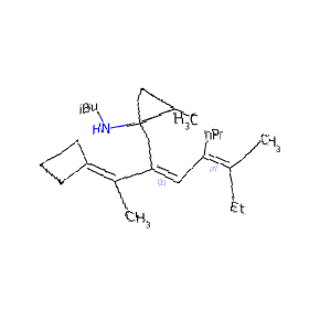 CCCC(/C=C(/C(C)=C1CCC1)C1(NC(C)CC)CC1C)=C(\C)CC